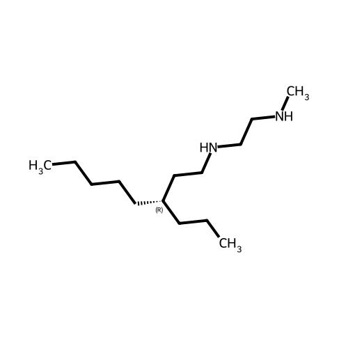 CCCCC[C@@H](CCC)CCNCCNC